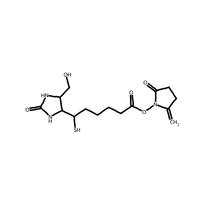 C=C1CCC(=O)N1OC(=O)CCCCC(S)C1NC(=O)NC1CO